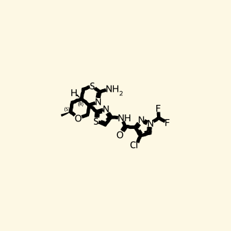 C[C@H]1C[C@H]2CSC(N)=NC2(c2nc(NC(=O)c3nn(C(F)F)cc3Cl)cs2)CO1